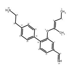 CC/C=C(\C)Oc1cc(C=N)ccc1-c1ccc(CCN)cc1